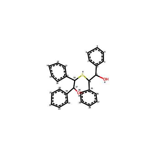 OC(c1ccccc1)C(SC(c1ccccc1)C(O)c1ccccc1)c1ccccc1